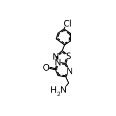 NCc1cc(=O)n2nc(-c3ccc(Cl)cc3)sc2n1